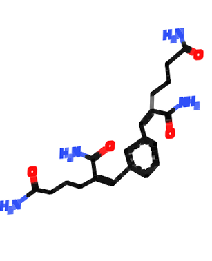 NC(=O)CCCC(=Cc1cccc(C=C(CCCC(N)=O)C(N)=O)c1)C(N)=O